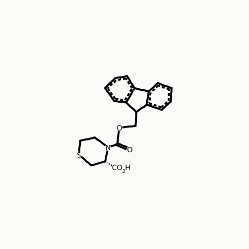 O=C(O)[C@@H]1CSCCN1C(=O)OCC1c2ccccc2-c2ccccc21